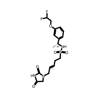 C[C@@H](NS(=O)(=O)CC/C=C/CN1CC(=O)NC1=O)c1cccc(OCC(F)F)c1